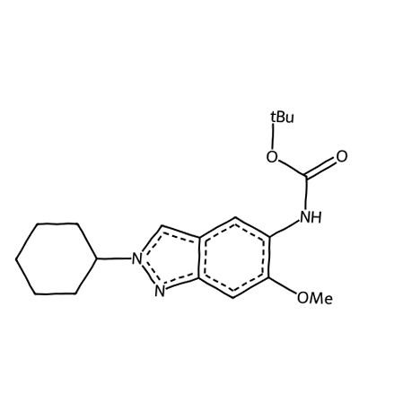 COc1cc2nn(C3CCCCC3)cc2cc1NC(=O)OC(C)(C)C